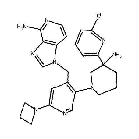 Nc1nccc2c1ncn2Cc1cc(N2CCC2)ncc1N1CCCC(N)(c2cccc(Cl)n2)C1